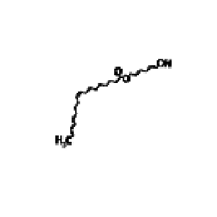 CCCCCCCC/C=C\CCCCCCCC(=O)OCCCCCCO